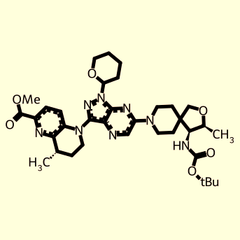 COC(=O)c1ccc2c(n1)[C@@H](C)CCN2c1nn(C2CCCCO2)c2nc(N3CCC4(CC3)CO[C@@H](C)[C@H]4NC(=O)OC(C)(C)C)cnc12